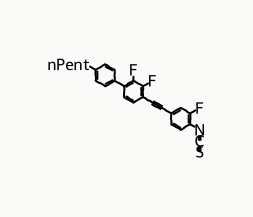 CCCCCc1ccc(-c2ccc(C#Cc3ccc(N=C=S)c(F)c3)c(F)c2F)cc1